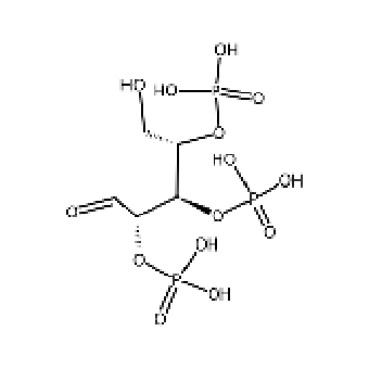 O=C[C@@H](OP(=O)(O)O)[C@H](OP(=O)(O)O)[C@H](CO)OP(=O)(O)O